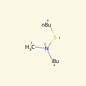 CCCCSN(C)C(C)CC